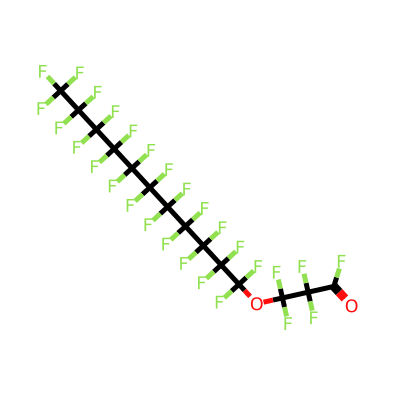 O=C(F)C(F)(F)C(F)(F)OC(F)(F)C(F)(F)C(F)(F)C(F)(F)C(F)(F)C(F)(F)C(F)(F)C(F)(F)C(F)(F)C(F)(F)C(F)(F)F